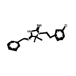 CC1(C)/C(=N/Cc2ccccc2)NC(=N)N1CCc1cccc(Cl)c1